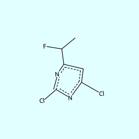 CC(F)c1cc(Cl)nc(Cl)n1